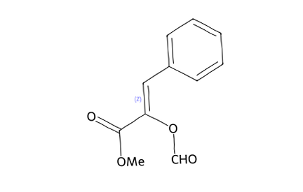 COC(=O)/C(=C/c1ccccc1)OC=O